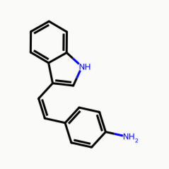 Nc1ccc(/C=C\c2c[nH]c3ccccc23)cc1